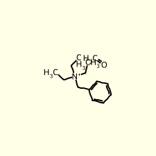 C=O.CC[N+](CC)(CC)Cc1ccccc1